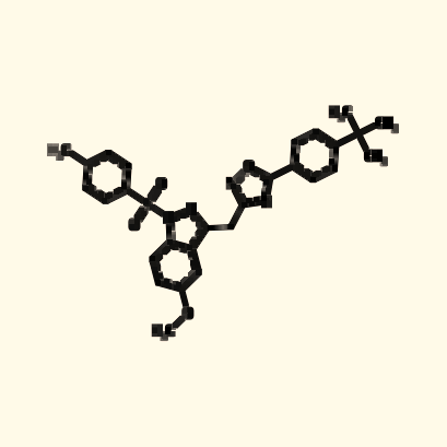 COc1ccc2c(c1)c(Cc1noc(-c3ccc(C(C)(C)C)cc3)n1)nn2S(=O)(=O)c1ccc(C)cc1